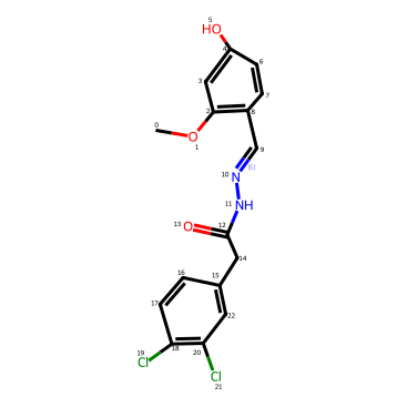 COc1cc(O)ccc1/C=N/NC(=O)Cc1ccc(Cl)c(Cl)c1